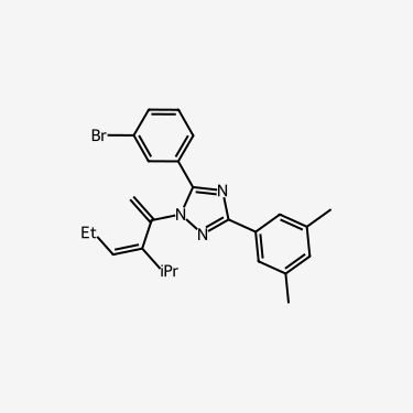 C=C(/C(=C\CC)C(C)C)n1nc(-c2cc(C)cc(C)c2)nc1-c1cccc(Br)c1